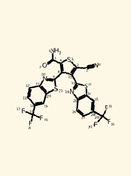 N#Cc1sc(C(N)=O)c(-c2nc3ccc(C(F)(F)F)cc3s2)c1-c1nc2ccc(C(F)(F)F)cc2s1